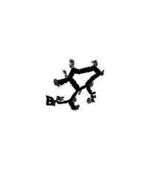 Cc1cccc(F)c1C(C)Br